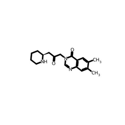 Cc1cc2ncn(CC(=O)C[C@@H]3CCCCN3)c(=O)c2cc1C